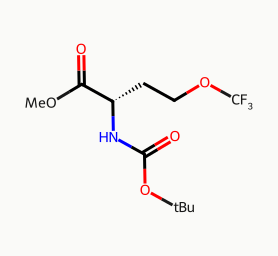 COC(=O)[C@H](CCOC(F)(F)F)NC(=O)OC(C)(C)C